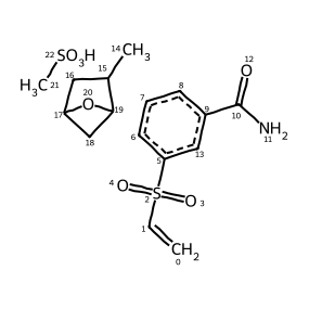 C=CS(=O)(=O)c1cccc(C(N)=O)c1.CC1CC2CC1O2.CS(=O)(=O)O